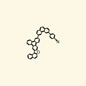 N#Cc1ccc(-c2ccc3ccc4ccc(-c5ccc6c(c5)c5ccccc5c5cc7c(cc65)oc5ccc6ccccc6c57)cc4c3c2)cc1